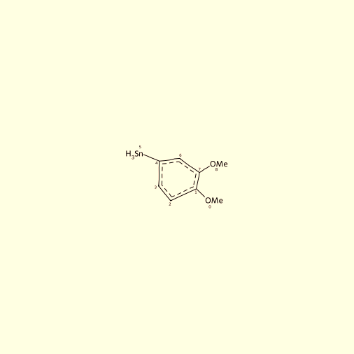 COc1cc[c]([SnH3])cc1OC